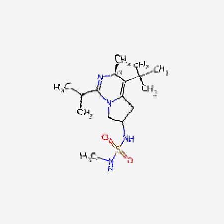 CNS(=O)(=O)NC1CC2=C(C(C)(C)C)[C@H](C)N=C(C(C)C)N2C1